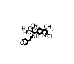 Cc1cc(Cl)nc2cc3c(cc12)OC(C)(C)C(O)C3NCCC1CCOCC1